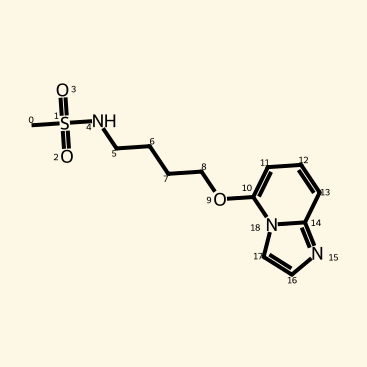 CS(=O)(=O)NCCCCOc1cccc2nccn12